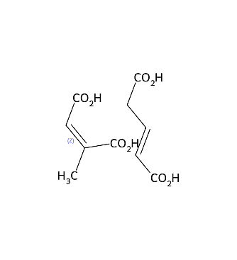 C/C(=C/C(=O)O)C(=O)O.O=C(O)C=CCC(=O)O